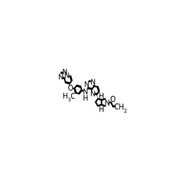 C=CC(=O)N1C[C@H]2CC[C@H](c3ccc4ncnc(Nc5ccc(Oc6ccn7ncnc7c6)c(C)c5)c4n3)[C@H]2C1